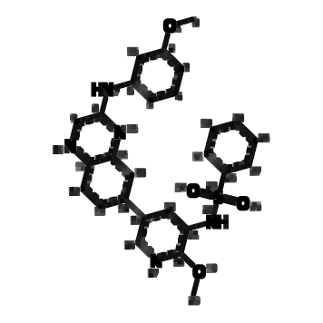 COc1cccc(Nc2cnc3ccc(-c4cnc(OC)c(NS(=O)(=O)c5ccccc5)c4)cc3n2)c1